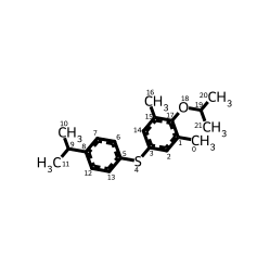 Cc1cc(Sc2ccc(C(C)C)cc2)cc(C)c1OC(C)C